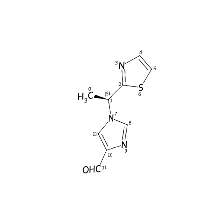 C[C@@H](c1nccs1)n1cnc(C=O)c1